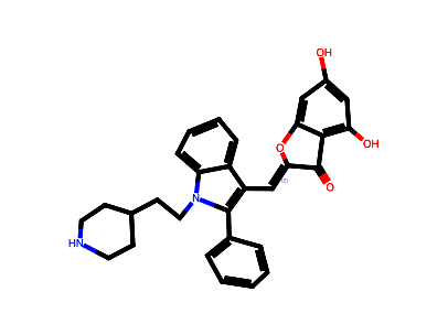 O=C1/C(=C/c2c(-c3ccccc3)n(CCC3CCNCC3)c3ccccc23)Oc2cc(O)cc(O)c21